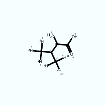 [2H]C([2H])([2H])C(C(N)C(=O)O)C([2H])([2H])[2H]